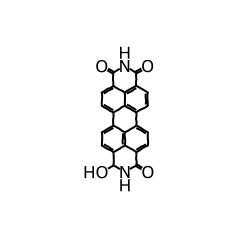 O=C1NC(=O)c2ccc3c4ccc5c6c(ccc(c7ccc1c2c73)c64)C(=O)NC5O